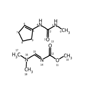 CNC(=O)NC1=CCCC1.COC(=O)N=CN(C)C